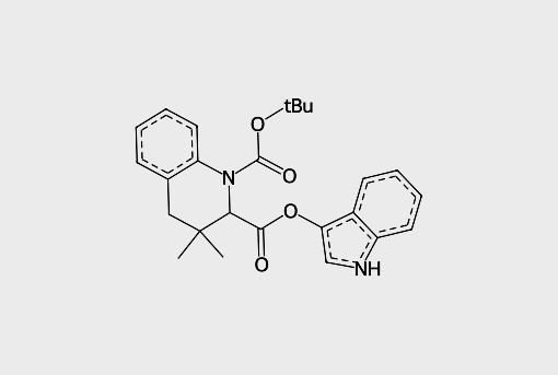 CC(C)(C)OC(=O)N1c2ccccc2CC(C)(C)C1C(=O)Oc1c[nH]c2ccccc12